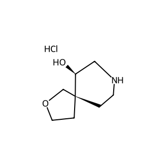 Cl.O[C@H]1CNCC[C@]12CCOC2